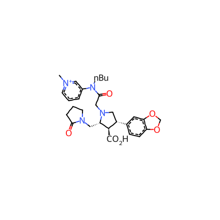 CCCCN(C(=O)CN1C[C@H](c2ccc3c(c2)OCO3)[C@@H](C(=O)O)[C@@H]1CN1CCCC1=O)c1ccc[n+](C)c1